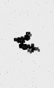 CN(C)C(=O)COc1ccc2c(c1)N(c1nc(-c3cccc(C(F)(F)F)c3)nc3c1C[S+]([O-])C3)CC2